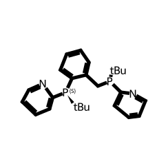 CC(C)(C)P(Cc1ccccc1[P@](c1ccccn1)C(C)(C)C)c1ccccn1